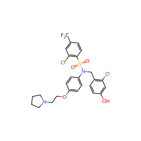 O=S(=O)(c1ccc(C(F)(F)F)cc1Cl)N(Cc1ccc(O)cc1Cl)c1ccc(OCCN2CCCC2)cc1